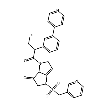 CC(C)CC(C(=O)N1CC=C2C1C(=O)CN2S(=O)(=O)Cc1cccnc1)c1cccc(-c2ccncc2)c1